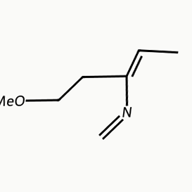 C=N/C(=C\C)CCOC